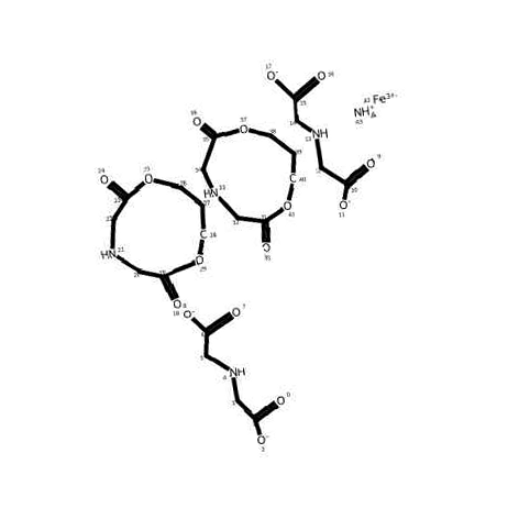 O=C([O-])CNCC(=O)[O-].O=C([O-])CNCC(=O)[O-].O=C1CNCC(=O)OCCCO1.O=C1CNCC(=O)OCCCO1.[Fe+3].[NH4+]